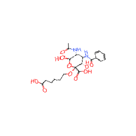 CC(=O)N[C@@H]1[C@@H](NC(=O)c2ccccc2)[C@H](O)[C@](OCCCCCC(=O)O)(C(=O)O)O[C@H]1O